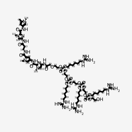 Cc1cc(NC(=O)c2nc(NC(=O)CCNC(=O)c3cc(NC(=O)c4nc(NC(=O)COCCOP(=O)(OCCCCCCNC(=N)N)OCCOP(=O)(OCCCCCCNC(=N)N)OCCOP(=O)(OCCCCCCNC(=N)N)OCCOP(=O)(OCCO)OCCCCCCNC(=N)N)cn4C)cn3C)cn2C)cn1C